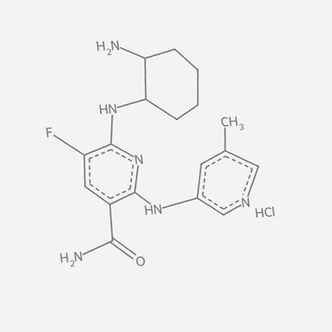 Cc1cncc(Nc2nc(NC3CCCCC3N)c(F)cc2C(N)=O)c1.Cl